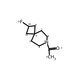 CC(=O)N1CCC2(CC1)CC(F)C2